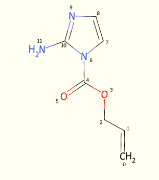 C=CCOC(=O)n1ccnc1N